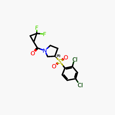 O=C(C1CC1(F)F)N1CC[C@@H](S(=O)(=O)c2ccc(Cl)cc2Cl)C1